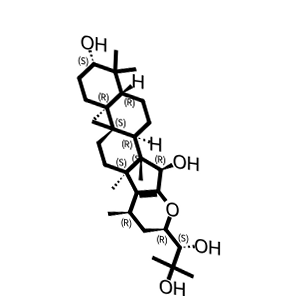 C[C@@H]1C[C@H]([C@H](O)C(C)(C)O)OC2=C1[C@@]1(C)CC[C@@]34C[C@@]35CC[C@H](O)C(C)(C)[C@@H]5CC[C@H]4[C@]1(C)[C@H]2O